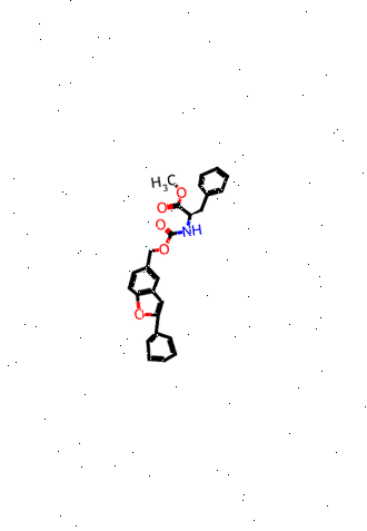 COC(=O)[C@@H](Cc1ccccc1)NC(=O)OCc1ccc2oc(-c3ccccc3)cc2c1